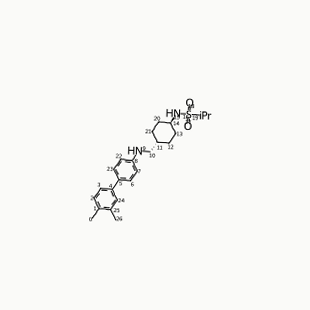 Cc1ccc(-c2ccc(NC[C@H]3CC[C@H](NS(=O)(=O)C(C)C)CC3)cc2)cc1C